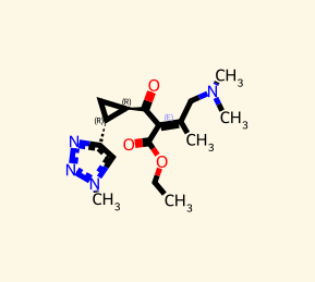 CCOC(=O)/C(C(=O)[C@@H]1C[C@H]1c1cn(C)nn1)=C(\C)CN(C)C